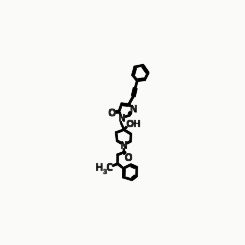 CC(CC(=O)N1CCC(O)(Cn2cnc(C#Cc3ccccc3)cc2=O)CC1)c1ccccc1